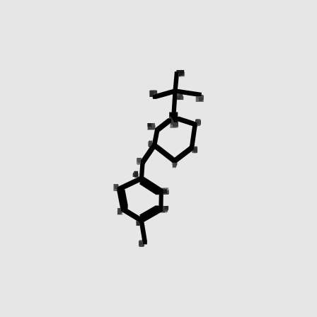 Cc1ccc(CC2CCCN(C(C)(C)C)C2)cc1